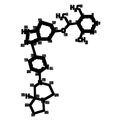 Cc1cnnc(C)c1C(C)Oc1ccc2[nH]nc(-c3ccc(N4CCN5CCC[C@@H]5C4)nc3)c2c1